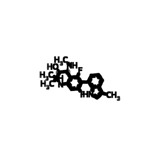 CN[C@@H]1c2c(cc(F)c(-c3cccc4c(C)c[nH]c34)c2F)NC(C)(C)[C@H]1O